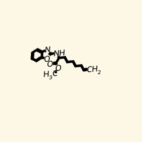 C=CCCCCCC(Nc1nc2ccccc2o1)C(=O)OC